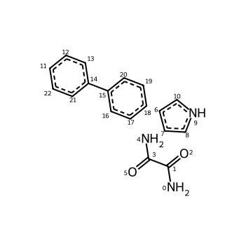 NC(=O)C(N)=O.c1cc[nH]c1.c1ccc(-c2ccccc2)cc1